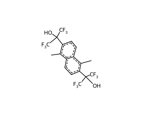 Cc1c(C(O)(C(F)(F)F)C(F)(F)F)ccc2c(C)c(C(O)(C(F)(F)F)C(F)(F)F)ccc12